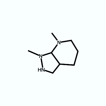 CN1CCCC2CNN(C)C21